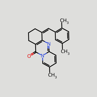 Cc1ccc(C)c(/C=C2/CCCc3c2nc2ccc(C)cn2c3=O)c1